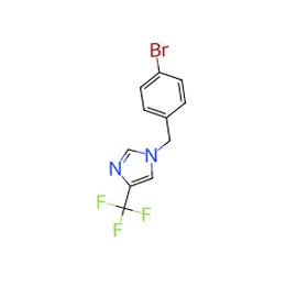 FC(F)(F)c1cn(Cc2ccc(Br)cc2)cn1